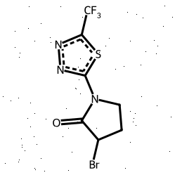 O=C1C(Br)CCN1c1nnc(C(F)(F)F)s1